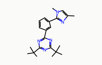 Cc1cn(C)c(-c2cccc(-c3nc(C(C)(C)C)nc(C(C)(C)C)n3)c2)n1